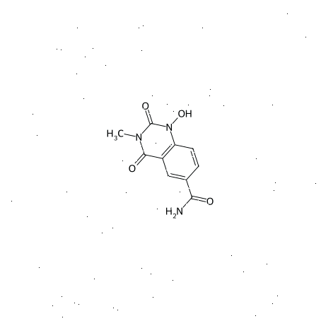 Cn1c(=O)c2cc(C(N)=O)ccc2n(O)c1=O